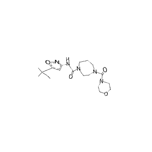 CC(C)(C)c1cc(NC(=O)N2CCCN(C(=O)N3CCOCC3)CC2)no1